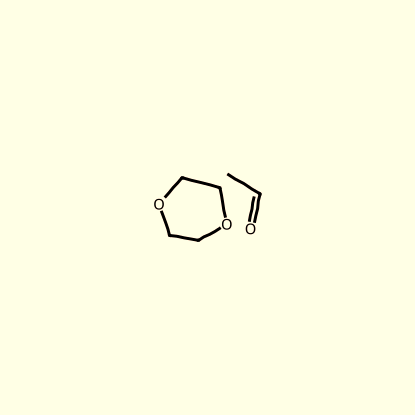 C1COCCO1.CC=O